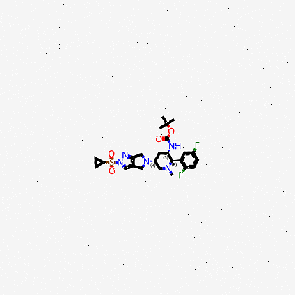 CN1C[C@H](N2Cc3cn(S(=O)(=O)C4CC4)nc3C2)C[C@H](NC(=O)OC(C)(C)C)[C@H]1c1cc(F)ccc1F